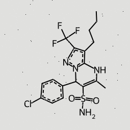 CCCCc1c(C(F)(F)F)nn2c1NC(C)=C(S(N)(=O)=O)C2c1ccc(Cl)cc1